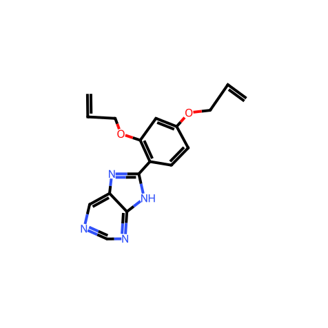 C=CCOc1ccc(-c2nc3cncnc3[nH]2)c(OCC=C)c1